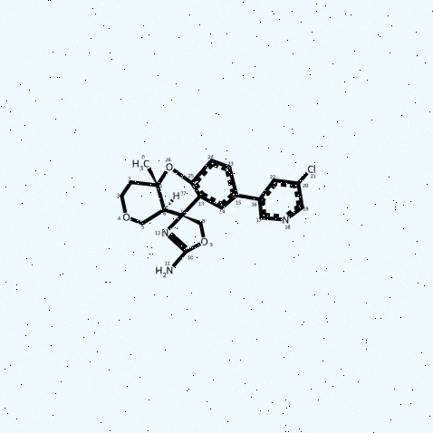 C[C@]12CCOC[C@@H]1[C@]1(COC(N)=N1)c1cc(-c3cncc(Cl)c3)ccc1O2